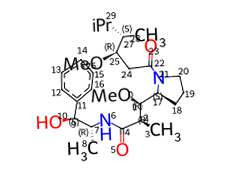 CO[C@H]([C@@H](C)C(=O)N[C@H](C)[C@@H](O)c1ccccc1)[C@@H]1CCCN1C(=O)C[C@@H](OC)[C@@H](C)C(C)C